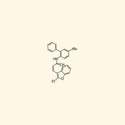 C=C(/C=C\c1c(CC)oc2ccccc12)Nc1ccc(C(C)(C)C)cc1-c1ccccc1